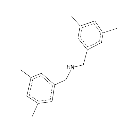 Cc1cc(C)cc(CNCc2cc(C)cc(C)c2)c1